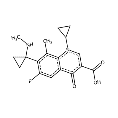 CNC1(c2c(F)cc3c(=O)c(C(=O)O)cn(C4CC4)c3c2C)CC1